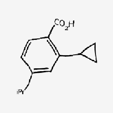 CC(C)c1ccc(C(=O)O)c(C2CC2)c1